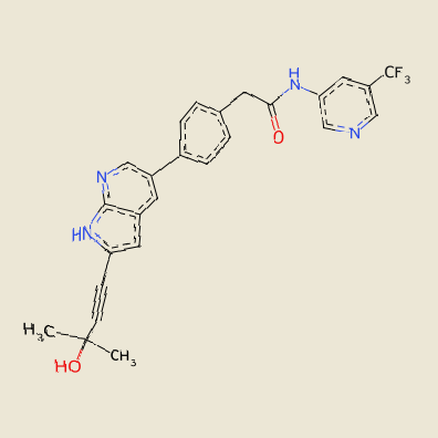 CC(C)(O)C#Cc1cc2cc(-c3ccc(CC(=O)Nc4cncc(C(F)(F)F)c4)cc3)cnc2[nH]1